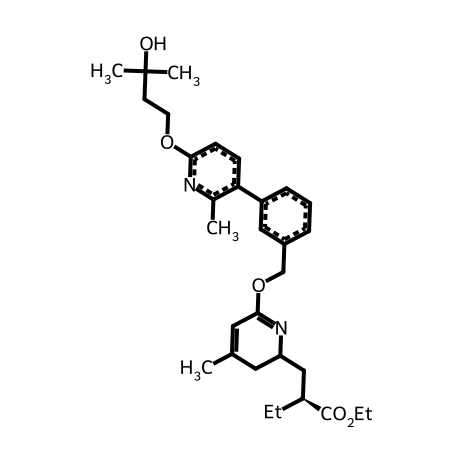 CCOC(=O)[C@@H](CC)CC1CC(C)=CC(OCc2cccc(-c3ccc(OCCC(C)(C)O)nc3C)c2)=N1